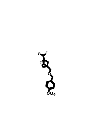 COc1ccc(COCC23COC(C(F)F)(C2)C3)cc1